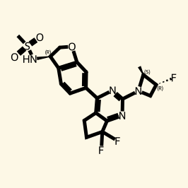 C[C@H]1[C@H](F)CN1c1nc(-c2ccc3c(c2)OC[C@@H]3NS(C)(=O)=O)c2c(n1)C(F)(F)CC2